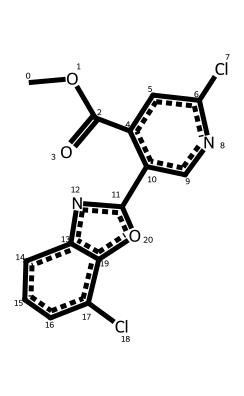 COC(=O)c1cc(Cl)ncc1-c1nc2cccc(Cl)c2o1